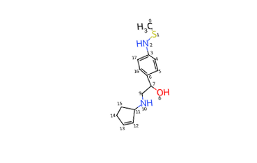 CSNc1ccc(C(O)CNC2C=CCC2)cc1